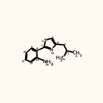 CC(C)Cc1csc(-c2ccccc2N)n1